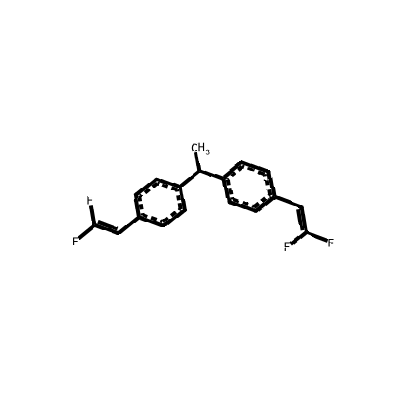 CC(c1ccc(C=C(F)F)cc1)c1ccc(C=C(F)F)cc1